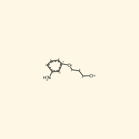 Nc1cccc(OCCCCl)c1